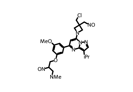 CNCC(COc1cc(OC)cc(-c2cc(N3CC(CCl)(CN=O)C3)n3ncc(C(C)C)c3n2)c1)N=O